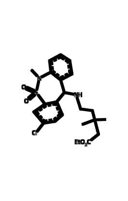 CCOC(=O)CC(C)(C)CCNC1c2ccccc2N(C)S(=O)(=O)c2cc(Cl)ccc21